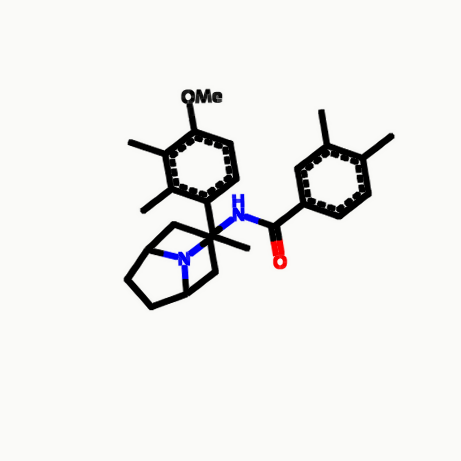 COc1ccc(C(C)N2C3CCC2CC(NC(=O)c2ccc(C)c(C)c2)C3)c(C)c1C